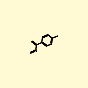 C=NC(=C)c1ccc(C)cc1